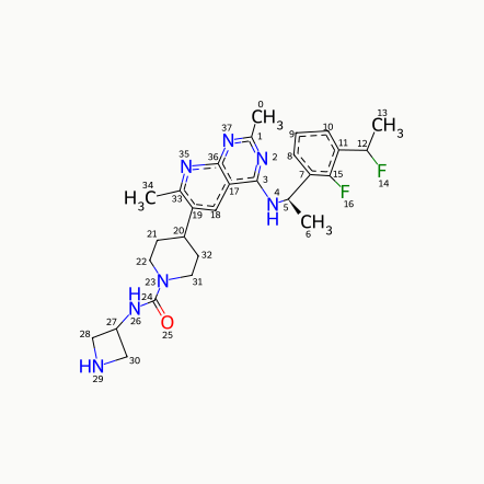 Cc1nc(N[C@H](C)c2cccc(C(C)F)c2F)c2cc(C3CCN(C(=O)NC4CNC4)CC3)c(C)nc2n1